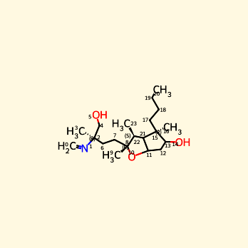 C=N[C@@](C)(CO)CC[C@@]1(C)OC2CC(O)[C@](C)(CCCC)C2[C@@H]1C